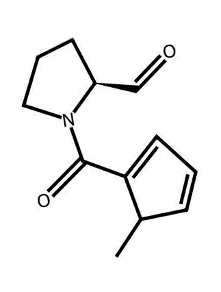 CC1C=CC=C1C(=O)N1CCC[C@H]1C=O